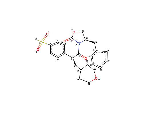 CS(=O)(=O)c1ccc([C@H](CC2CCOCC2)C(=O)N2C(=O)OC[C@H]2Cc2ccccc2)cc1